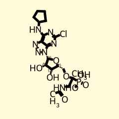 CC(=O)NCC(C)(OC[C@H]1O[C@@H](n2nnc3c(NC4CCCC4)nc(Cl)nc32)[C@H](O)[C@@H]1O)P(=O)(O)O